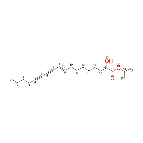 CCCCC#CC#C/C=C/CCCCCCC(O)C(=O)OC(C)C